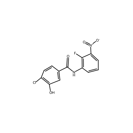 O=C(Nc1cccc([N+](=O)[O-])c1F)c1ccc(Cl)c(O)c1